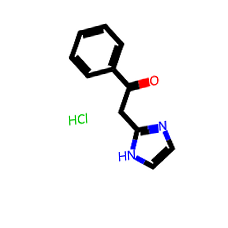 Cl.O=C(Cc1ncc[nH]1)c1ccccc1